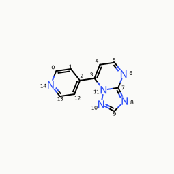 c1cc(-c2ccnc3ncnn23)ccn1